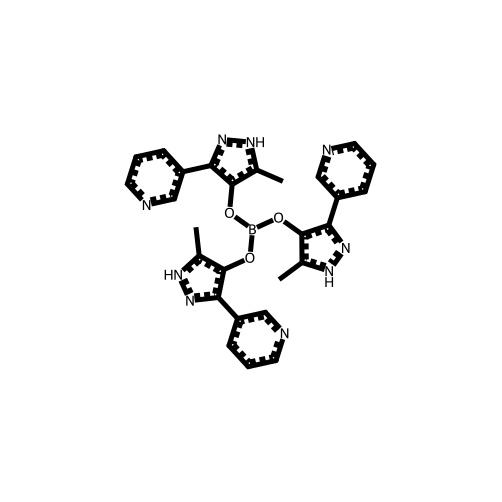 Cc1[nH]nc(-c2cccnc2)c1OB(Oc1c(-c2cccnc2)n[nH]c1C)Oc1c(-c2cccnc2)n[nH]c1C